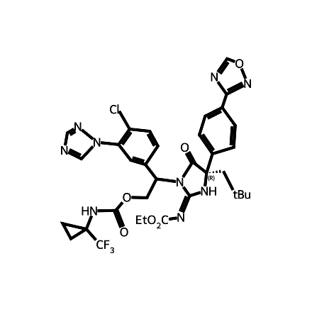 CCOC(=O)N=C1N[C@](CC(C)(C)C)(c2ccc(-c3ncon3)cc2)C(=O)N1C(COC(=O)NC1(C(F)(F)F)CC1)c1ccc(Cl)c(-n2cncn2)c1